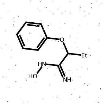 CCC(Oc1ccccc1)C(=N)NO